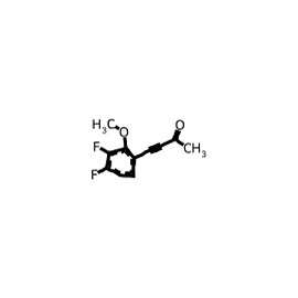 COc1c(C#CC(C)=O)ccc(F)c1F